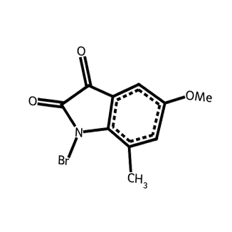 COc1cc(C)c2c(c1)C(=O)C(=O)N2Br